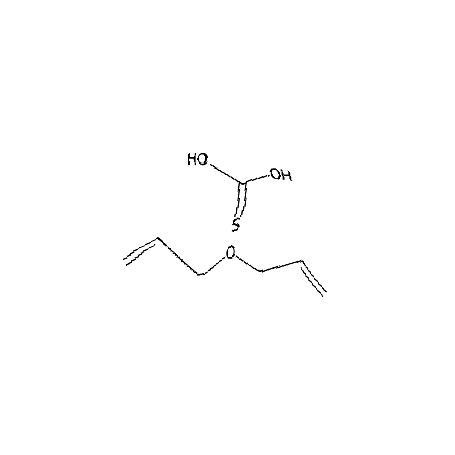 C=CCOCC=C.OC(O)=S